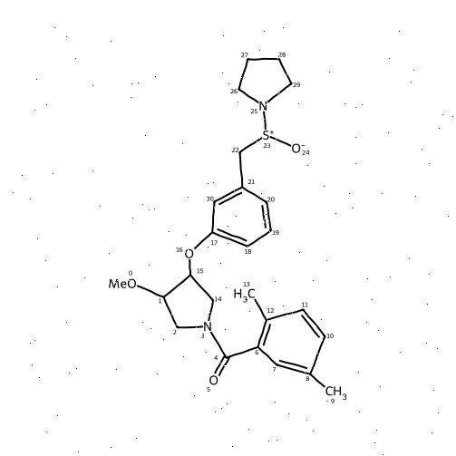 COC1CN(C(=O)c2cc(C)ccc2C)CC1Oc1cccc(C[S+]([O-])N2CCCC2)c1